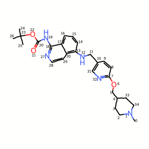 CN1CCC(COc2ccc(CNc3cccc4c(NC(=O)OC(C)(C)C)nccc34)cn2)CC1